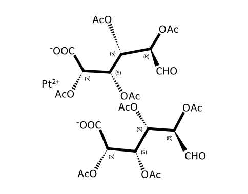 CC(=O)O[C@@H]([C@H](OC(C)=O)[C@H](OC(C)=O)C(=O)[O-])[C@H](C=O)OC(C)=O.CC(=O)O[C@@H]([C@H](OC(C)=O)[C@H](OC(C)=O)C(=O)[O-])[C@H](C=O)OC(C)=O.[Pt+2]